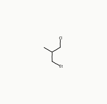 [CH2]CCC(C)CCl